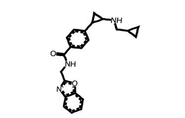 O=C(NCc1nc2ccccc2o1)c1ccc(C2CC2NCC2CC2)cc1